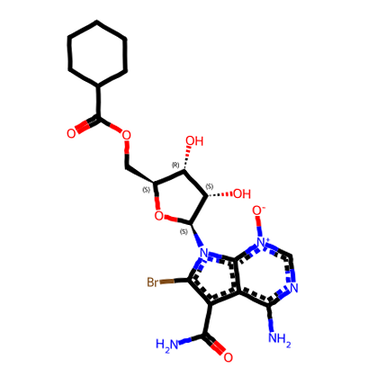 NC(=O)c1c(Br)n([C@H]2O[C@@H](COC(=O)C3CCCCC3)[C@H](O)[C@@H]2O)c2c1c(N)nc[n+]2[O-]